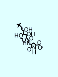 COC(=O)C1CC(NC(=O)[C@H](OC)[C@H](O)[C@@H](O)[C@H](O)C=CC(C)(C)C)C(=O)N1